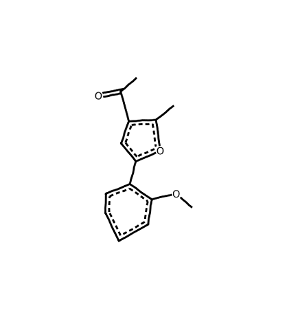 COc1ccccc1-c1cc(C(C)=O)c(C)o1